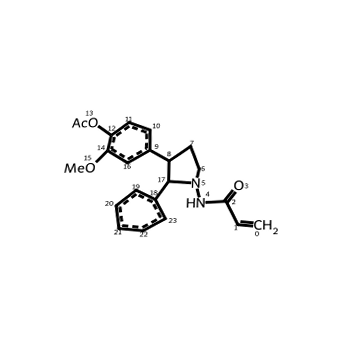 C=CC(=O)NN1CCC(c2ccc(OC(C)=O)c(OC)c2)C1c1ccccc1